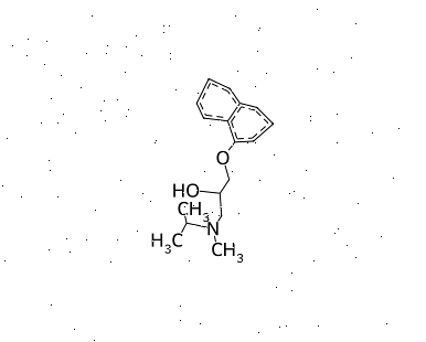 CC(C)N(C)CC(O)COc1cccc2ccccc12